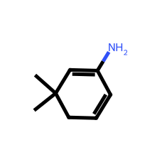 CC1(C)C=C(N)C=CC1